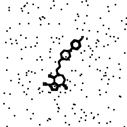 CCn1ccc2c1C(=O)N(CCCN1CCN(c3ccc(F)cc3)CC1)CCC2=O